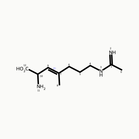 CC(=N)NCCC/C(C)=C/C(N)C(=O)O